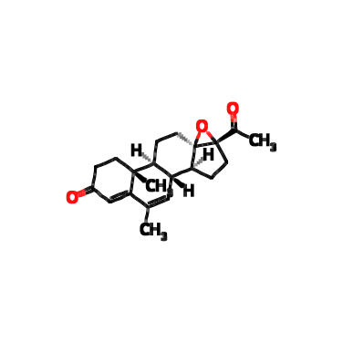 CC(=O)[C@@]12CC[C@H]3[C@@H]4C=C(C)C5=CC(=O)CC[C@]5(C)[C@H]4CC[C@@]31O2